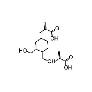 C=C(C)C(=O)O.C=C(C)C(=O)O.OCC1CCCCC1CO